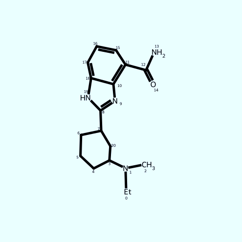 CCN(C)C1CCCC(c2nc3c(C(N)=O)cccc3[nH]2)C1